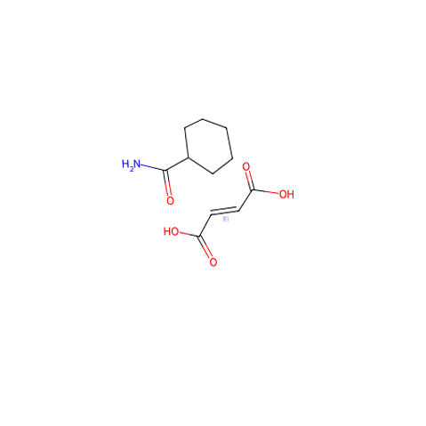 NC(=O)C1CCCCC1.O=C(O)/C=C/C(=O)O